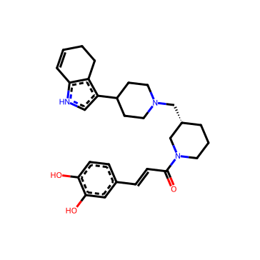 O=C(/C=C/c1ccc(O)c(O)c1)N1CCC[C@@H](CN2CCC(c3c[nH]c4c3CCC=C4)CC2)C1